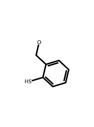 [O]Cc1ccccc1S